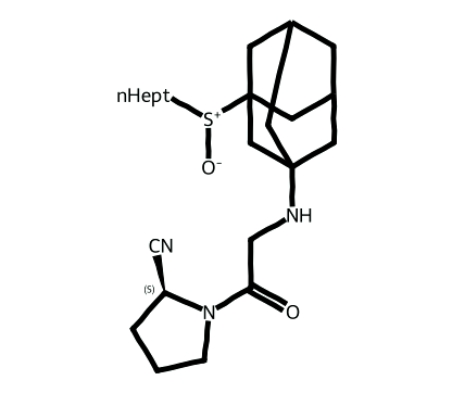 CCCCCCC[S+]([O-])C12CC3CC(CC(NCC(=O)N4CCC[C@H]4C#N)(C3)C1)C2